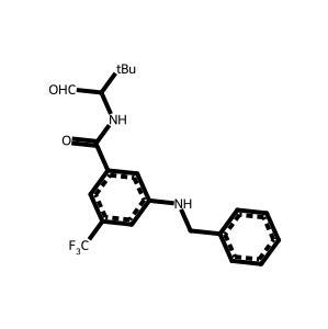 CC(C)(C)C(C=O)NC(=O)c1cc(NCc2ccccc2)cc(C(F)(F)F)c1